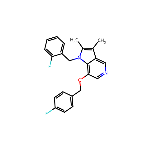 Cc1c(C)n(Cc2ccccc2F)c2c(OCc3ccc(F)cc3)cncc12